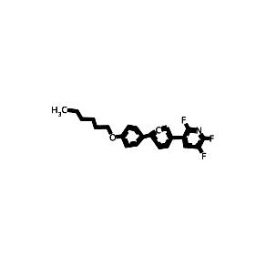 CCCCCCOc1ccc(-c2ccc(-c3cc(F)c(F)nc3F)cc2)cc1